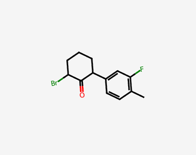 Cc1ccc(C2CCCC(Br)C2=O)cc1F